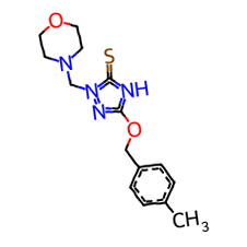 Cc1ccc(COc2nn(CN3CCOCC3)c(=S)[nH]2)cc1